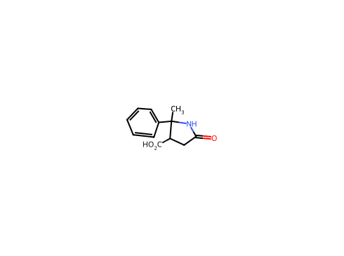 CC1(c2ccccc2)NC(=O)CC1C(=O)O